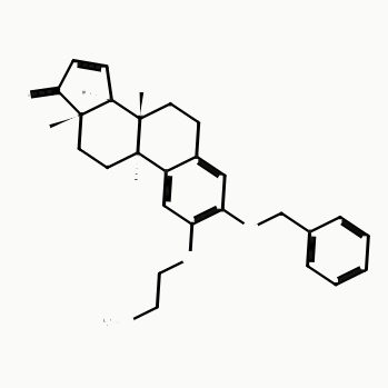 COCCOc1cc2c(cc1OCc1ccccc1)CC[C@@H]1[C@@H]2CC[C@]2(C)C(=O)C=C[C@@H]12